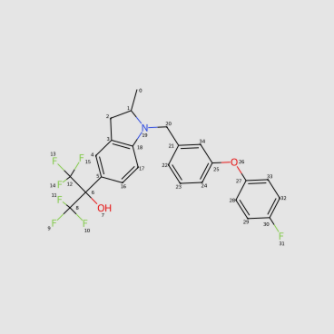 CC1Cc2cc(C(O)(C(F)(F)F)C(F)(F)F)ccc2N1Cc1cccc(Oc2ccc(F)cc2)c1